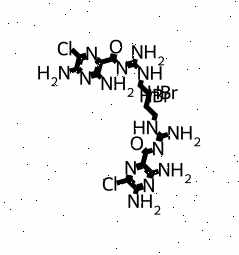 Br.Br.NC(=NC(=O)c1nc(Cl)c(N)nc1N)NCCCCNC(N)=NC(=O)c1nc(Cl)c(N)nc1N